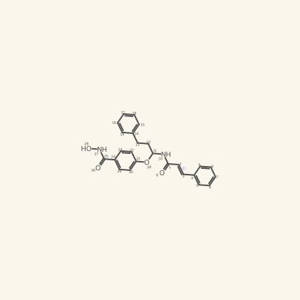 O=C(/C=C/c1ccccc1)NC(CCc1ccccc1)Oc1ccc(C(=O)NO)cc1